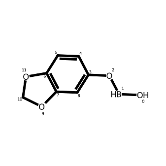 OBOc1ccc2c(c1)OCO2